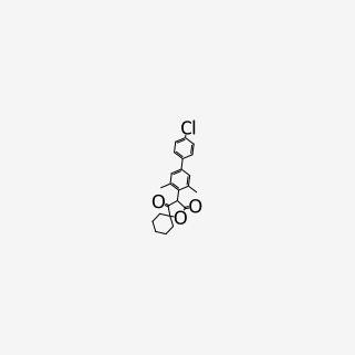 Cc1cc(-c2ccc(Cl)cc2)cc(C)c1C1C(=O)OC2(CCCCC2)C1=O